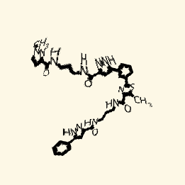 Cc1sc(-c2cccc(-c3cc(C(=O)NCCCNC(=O)c4ccn(C)n4)n[nH]3)c2)nc1C(=O)NCCCNC(=O)c1cc(-c2ccccc2)[nH]n1